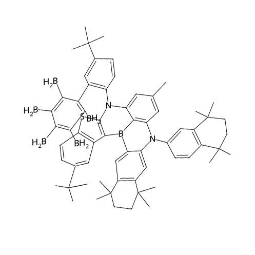 Bc1c(B)c(B)c(-c2cc(C(C)(C)C)ccc2N2c3cc(C)cc4c3B(c3cc5c(cc3N4c3ccc4c(c3)C(C)(C)CCC4(C)C)C(C)(C)CCC5(C)C)c3c2sc2ccc(C(C)(C)C)cc32)c(B)c1B